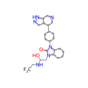 O=c1n(CC(O)NCC(F)(F)F)c2ccccc2n1-c1ccc(-c2cncc3[nH]ncc23)cc1